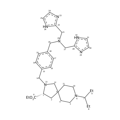 CCOC(=O)[C@H]1CC2(CCN(C(CC)CC)CC2)CN1Cc1ccc(CN(Cc2ncc[nH]2)Cc2ncc[nH]2)cc1